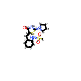 CS(=O)(=O)Nc1ccccc1/C=C1\SC(N2CCCC2)=NC1=O